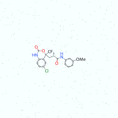 COc1cccc(NC(=O)CCC2(C(F)(F)F)OC(=O)Nc3ccc(Cl)cc32)c1